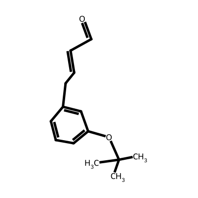 CC(C)(C)Oc1cccc(CC=CC=O)c1